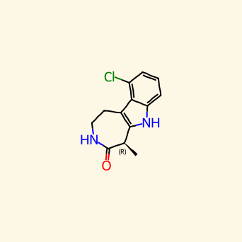 C[C@H]1C(=O)NCCc2c1[nH]c1cccc(Cl)c21